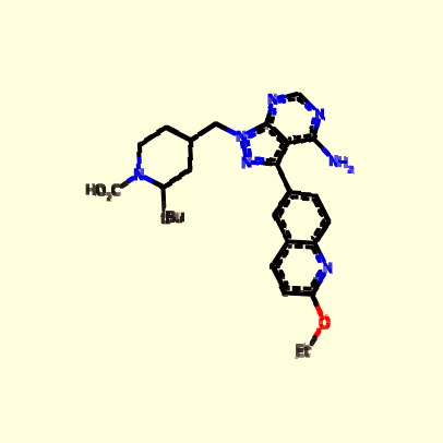 CCOc1ccc2cc(-c3nn(CC4CCN(C(=O)O)C(C(C)(C)C)C4)c4ncnc(N)c34)ccc2n1